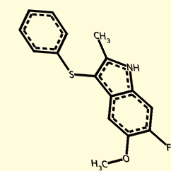 COc1cc2c(Sc3ccccc3)c(C)[nH]c2cc1F